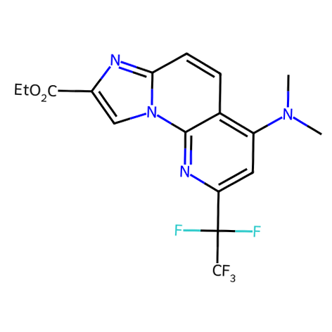 CCOC(=O)c1cn2c(ccc3c(N(C)C)cc(C(F)(F)C(F)(F)F)nc32)n1